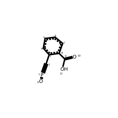 O=P#Cc1ccccc1C(=O)O